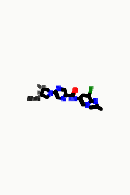 CN[C@H]1CN(c2cnc(C(=O)Nc3cc(F)c4nc(C)cn4c3)cn2)C[C@H]1C